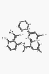 Cc1cc(C(C)Nc2cccc(O)c2C(=O)O)c2nc(N3CCCCC3)cc(=O)n2c1